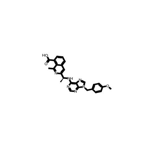 COc1ccc(Cn2cnc3c(N[C@@H](C)c4cc5cccc(C(=O)O)c5c(C)n4)ncnc32)cc1